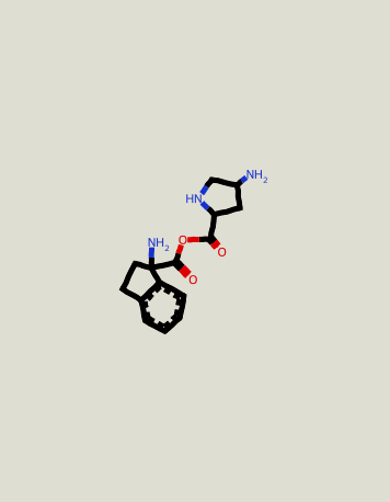 NC1CNC(C(=O)OC(=O)C2(N)CCc3ccccc32)C1